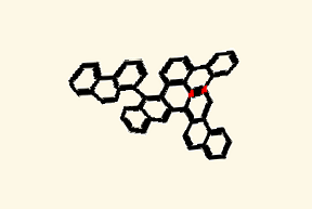 c1ccc2c(-c3cccc4c3ccc3ccccc34)c(-c3cccc4c3ccc3ccccc34)c(-c3cccc4c3ccc3ccccc34)cc2c1